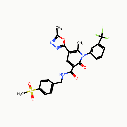 Cc1nnc(-c2cc(C(=O)NCc3ccc(S(C)(=O)=O)cc3)c(=O)n(-c3cccc(C(F)(F)F)c3)c2C)o1